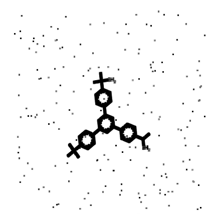 BC(C)c1ccc(-c2cc(-c3ccc(C(B)(C)C)cc3)cc(-c3ccc(C(C)(C)C)cc3)c2)cc1